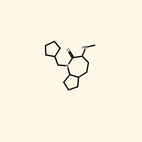 CNC1CCC2CCCC2N(CC2CCCC2)C1=O